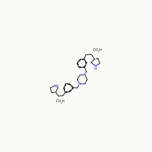 O=C(O)[C@@H](Cc1cccc(CN2CCN(Cc3cccc(C[C@H](C(=O)O)[C@H]4CCNC4)c3)CC2)c1)[C@H]1CCNC1